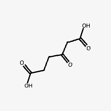 O=C(O)CCC(=O)CC(=O)O